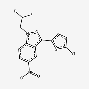 O=[N+]([O-])c1ccc2c(c1)c(-c1ccc(Cl)s1)nn2CC(F)F